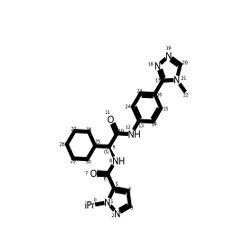 CC(C)n1nccc1C(=O)N[C@H](C(=O)Nc1ccc(-c2nncn2C)cc1)C1CCCCC1